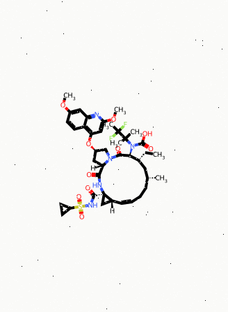 CC[C@@H]1C[C@H](C)CC/C=C\[C@@H]2C[C@@]2(C(=O)NS(=O)(=O)C2CC2)NC(=O)[C@@H]2C[C@@H](Oc3cc(OC)nc4cc(OC)ccc34)CN2C(=O)[C@H]1N(C(=O)O)C(C)(C)C(C)(F)F